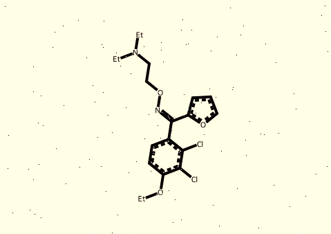 CCOc1ccc(C(=NOCCN(CC)CC)c2ccco2)c(Cl)c1Cl